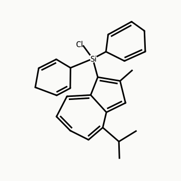 Cc1cc2c(C(C)C)ccccc-2c1[Si](Cl)(C1C=CCC=C1)C1C=CCC=C1